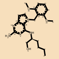 CCCC[C@@H](CO)Nc1nc(N)nc2ccn(Cc3c(OC)cccc3OC)c12